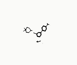 CC1(C)CCC(NCc2cccc(-c3ccc(C(N)=O)cc3)c2)CC1.O=C(O)C(F)(F)F